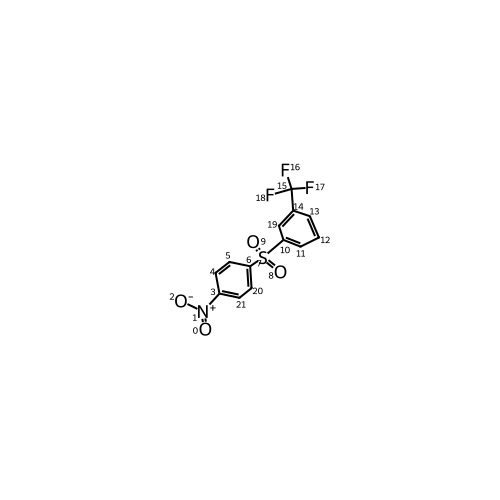 O=[N+]([O-])c1ccc(S(=O)(=O)c2cccc(C(F)(F)F)c2)cc1